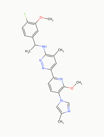 COc1cc(C(C)Nc2nnc(-c3ccc(-n4cnc(C)c4)c(OC)n3)cc2C)ccc1F